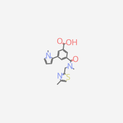 Cc1csc(CN(C)C(=O)c2cc(C(=O)O)cc(-c3cccn3C)c2)n1